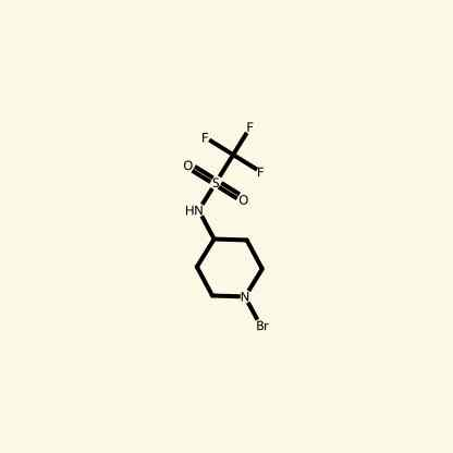 O=S(=O)(NC1CCN(Br)CC1)C(F)(F)F